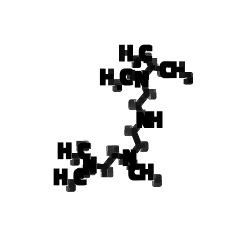 CC(C)N(C)CCNCCN(C)CCN(C)C